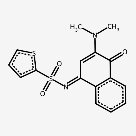 CN(C)C1=CC(=NS(=O)(=O)c2cccs2)c2ccccc2C1=O